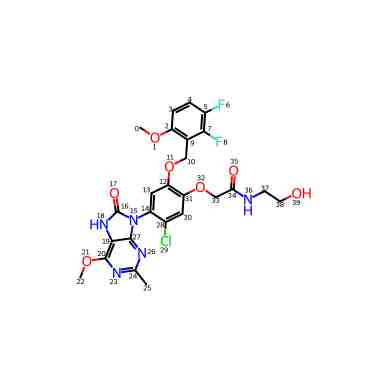 COc1ccc(F)c(F)c1COc1cc(-n2c(=O)[nH]c3c(OC)nc(C)nc32)c(Cl)cc1OCC(=O)NCCO